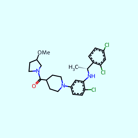 COC1CCN(C(=O)C2CCN(c3ccc(Cl)c(N[C@H](C)c4ccc(Cl)cc4Cl)c3)CC2)C1